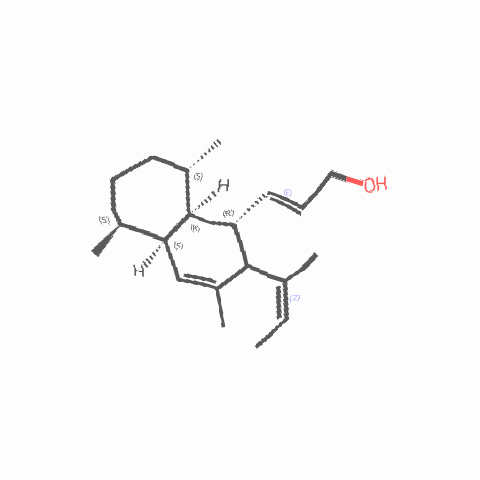 C/C=C(/C)C1C(C)=C[C@@H]2[C@H]([C@@H]1/C=C/CO)[C@@H](C)CC[C@@H]2C